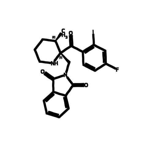 C[C@@H]1CCCN[C@@]1(CN1C(=O)c2ccccc2C1=O)C(=O)c1ccc(F)cc1I